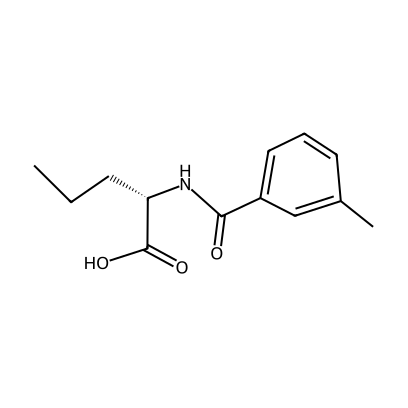 CCC[C@H](NC(=O)c1cccc(C)c1)C(=O)O